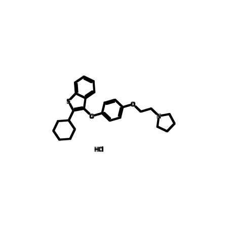 Cl.c1ccc2c(Oc3ccc(OCCN4CCCC4)cc3)c(C3CCCCC3)sc2c1